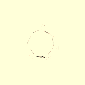 O1[SiH2][SiH2][SiH2][SiH2][SiH2][SiH2]1